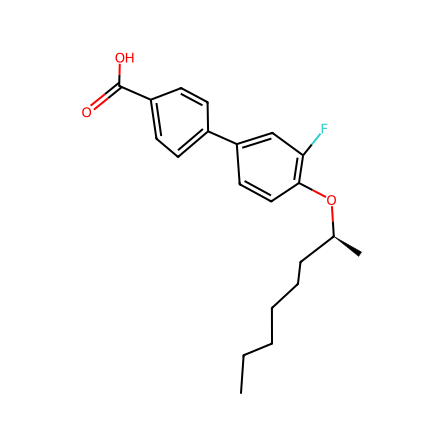 CCCCCC[C@H](C)Oc1ccc(-c2ccc(C(=O)O)cc2)cc1F